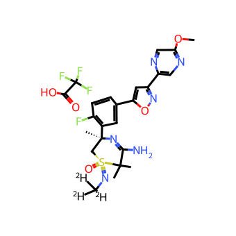 O=C(O)C(F)(F)F.[2H]C([2H])([2H])N=[S@@]1(=O)C[C@@](C)(c2cc(-c3cc(-c4cnc(OC)cn4)no3)ccc2F)N=C(N)C1(C)C